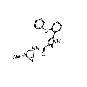 N#CN1CC(NC(=O)c2cc(-c3ccccc3Oc3ccccc3)[nH]n2)C2CC21